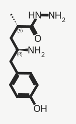 C[C@@H](C[C@@H](N)Cc1ccc(O)cc1)C(=O)NN